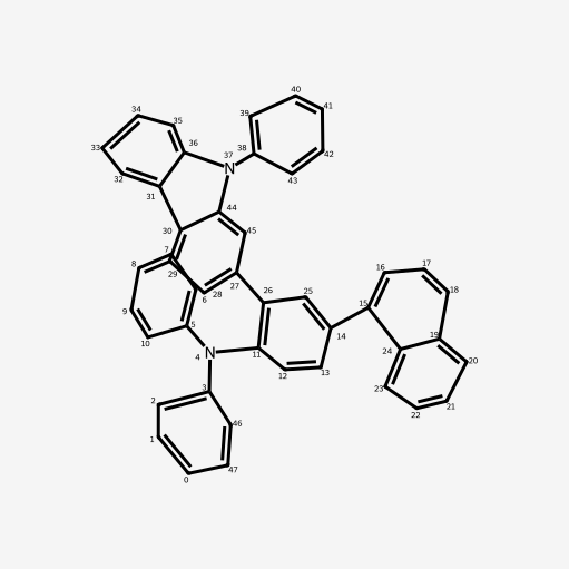 c1ccc(N(c2ccccc2)c2ccc(-c3cccc4ccccc34)cc2-c2ccc3c4ccccc4n(-c4ccccc4)c3c2)cc1